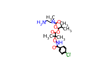 CC(C)C(OC(=O)N(C)CCN)OC(=O)C(C)(C)ONC(=O)c1ccc(Cl)cc1